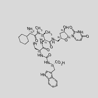 CC(C)C[C@H](NC(=O)N[C@@H](Cc1c[nH]c2ccccc12)C(=O)O)C(=O)N[C@H](C(=O)NC[C@H]1C[C@@H](O)[C@H](n2ccc(=O)[nH]c2=O)O1)[C@H](C)N(C)C(=O)[C@@H](N)C1CCCCC1